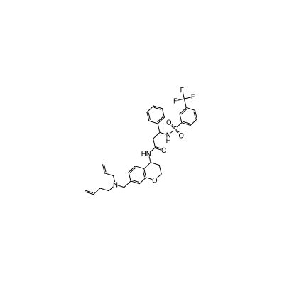 C=CCCN(CC=C)Cc1ccc2c(c1)OCCC2NC(=O)CC(NS(=O)(=O)c1cccc(C(F)(F)F)c1)c1ccccc1